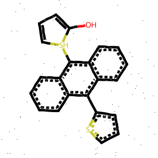 OC1=CC=C[SH]1c1c2ccccc2c(-c2cccs2)c2ccccc12